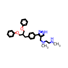 CNCCN(C)Cc1c[nH]nc1-c1ccc(CC(COc2ccccc2)COc2ccccc2)cc1